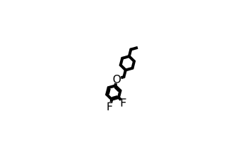 CCC1CCC(COc2ccc(F)c(F)c2)CC1